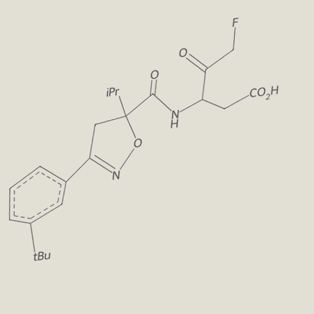 CC(C)C1(C(=O)NC(CC(=O)O)C(=O)CF)CC(c2cccc(C(C)(C)C)c2)=NO1